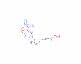 CC(C)(O)C#Cc1ccc2nc(OC3COC3)n(-c3ccnc(N)n3)c2c1